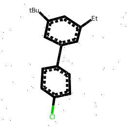 CCc1cc(-c2ccc(Cl)cc2)cc(C(C)(C)C)c1